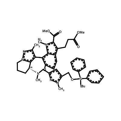 COC(=O)CCc1c(C(=O)OC)n(C)c2c(-c3c(C)nn4c3[C@H](N(C)Cc3cc(CO[Si](c5ccccc5)(c5ccccc5)C(C)(C)C)n(C)n3)CCC4)c(Cl)ccc12